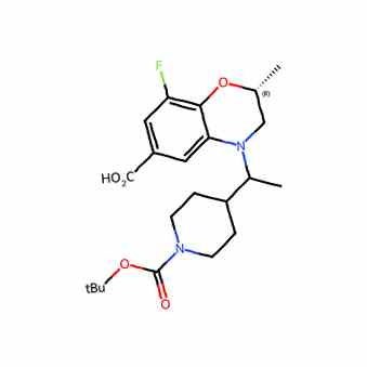 CC(C1CCN(C(=O)OC(C)(C)C)CC1)N1C[C@@H](C)Oc2c(F)cc(C(=O)O)cc21